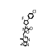 C=C1c2c(ncn2C)N=CN1Cc1nn([C@@H]2C[C@@H](F)[C@@H](c3ccc(Cl)cc3)C2)c(=O)o1